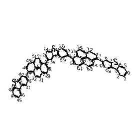 c1ccc2c(c1)sc1cc(-c3ccc4ccc5c(-c6ccc7sc8ccc(-c9ccc%10ccc%11c(-c%12ccc%13c(c%12)sc%12ccccc%12%13)ccc%12ccc9c%10c%12%11)cc8c7c6)ccc6ccc3c4c65)ccc12